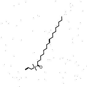 C=CC[N+](C)(C)C(=O)CCCCCCCC=CCCCCCCCC